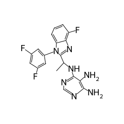 CC(Nc1ncnc(N)c1N)c1nc2c(F)cccc2n1-c1cc(F)cc(F)c1